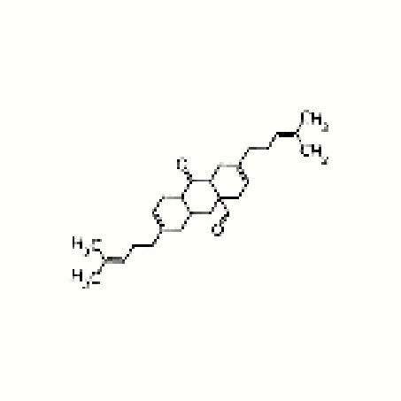 CC(C)=CCCC1=CCC2C(=O)C3CC(CCC=C(C)C)=CCC3(C=O)CC2C1